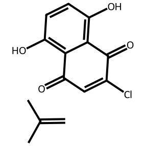 C=C(C)C.O=C1C=C(Cl)C(=O)c2c(O)ccc(O)c21